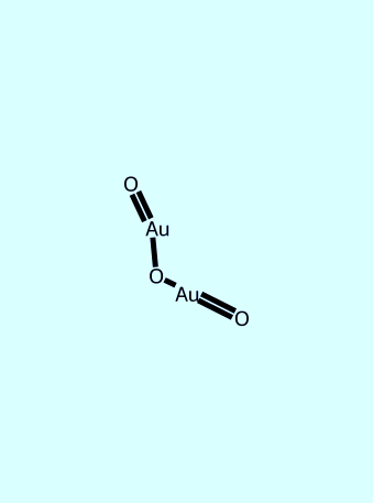 [O]=[Au][O][Au]=[O]